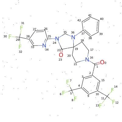 O=C(c1cc(C(F)(F)F)cc(C(F)(F)F)c1)N1CCC2(CC1)C(=O)N(c1ccc(C(F)(F)F)cn1)CN2c1ccccc1